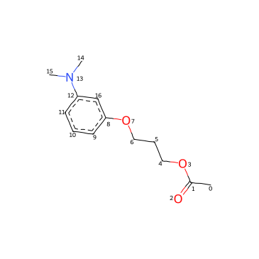 CC(=O)OCCCOc1cccc(N(C)C)c1